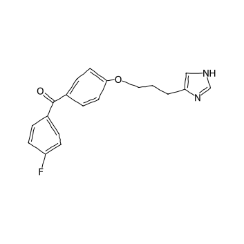 O=C(c1ccc(F)cc1)c1ccc(OCCCc2c[nH]cn2)cc1